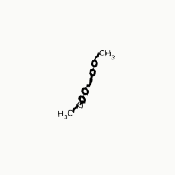 CCCCCOc1ccc([C@H]2CC[C@H](C=CC#Cc3ccc([C@H]4CC[C@H](CCCC)CC4)cc3)CC2)cc1